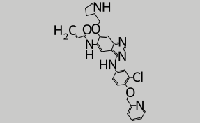 C=CC(=O)Nc1cc2c(Nc3ccc(OCc4ccccn4)c(Cl)c3)ncnc2cc1OCC1CCCN1